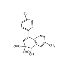 CCc1ccc(C2=CC(C=O)(C=O)C(O)c3cc(C)ccc32)cc1